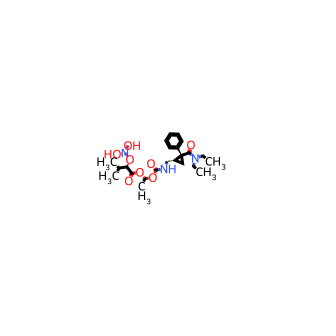 CCN(CC)C(=O)[C@]1(c2ccccc2)C[C@@H]1CNC(=O)OC(C)OC(=O)[C@H](ON(O)O)C(C)C